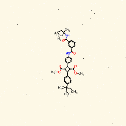 CCC(C)(CC)NC(=O)c1cccc(C(=O)Nc2ccc(C3C(C(=O)OC)C(c4ccc(C(C)(CC)CC)cc4)C3C(=O)OC)cc2)c1